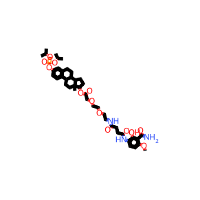 COc1ccc(NC(=O)CCC(=O)NCCOCCOCC(=O)OC2CCC3C4CCc5cc(OP(=O)(OC(C)C)OC(C)C)ccc5C4CCC23C)c(O)c1C(N)=O